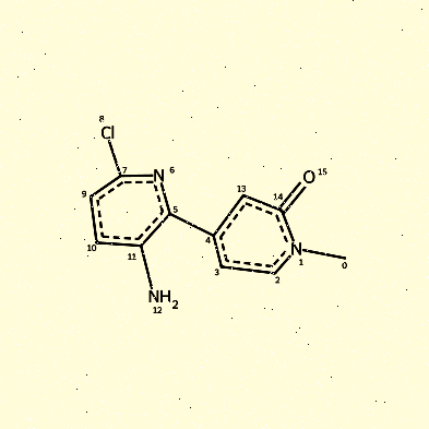 Cn1ccc(-c2nc(Cl)ccc2N)cc1=O